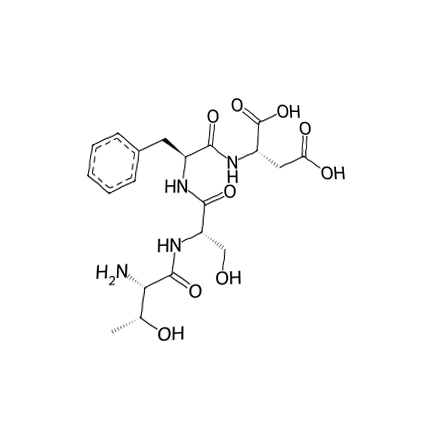 C[C@@H](O)[C@H](N)C(=O)N[C@@H](CO)C(=O)N[C@@H](Cc1ccccc1)C(=O)N[C@@H](CC(=O)O)C(=O)O